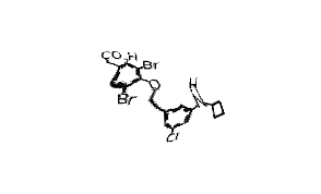 O=C(O)Cc1cc(Br)c(OCc2cc(Cl)cc(NC3CCC3)c2)c(Br)c1